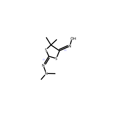 CN(C)/N=C1\S/C(=N/O)C(C)(C)S1